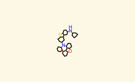 c1ccc(Nc2ccc3sc4ccc(N(c5ccccc5)c5cccc6oc7ccccc7c56)cc4c3c2)cc1